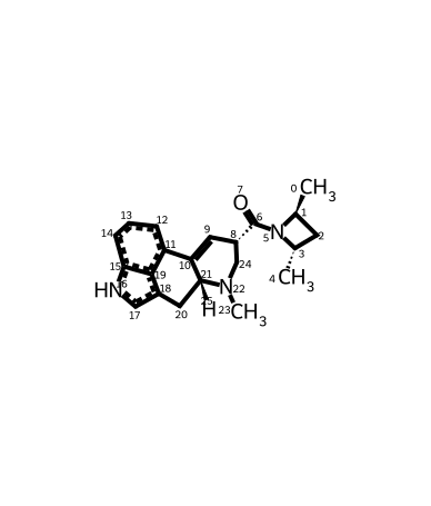 C[C@H]1C[C@H](C)N1C(=O)[C@H]1C=C2c3cccc4[nH]cc(c34)C[C@H]2N(C)C1